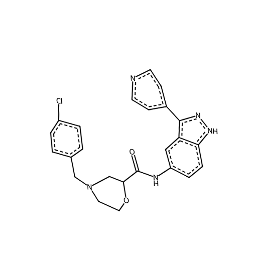 O=C(Nc1ccc2[nH]nc(-c3ccncc3)c2c1)C1CN(Cc2ccc(Cl)cc2)CCO1